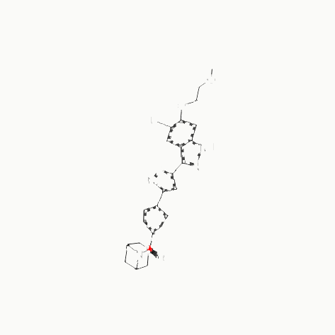 COCCOc1cc2[nH]nc(-c3cc(-c4ccc(C(=O)N5C6CC5CS(=O)(=O)C6)cc4)no3)c2cc1F